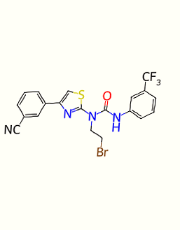 N#Cc1cccc(-c2csc(N(CCBr)C(=O)Nc3cccc(C(F)(F)F)c3)n2)c1